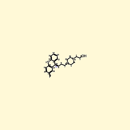 OCCN1CCN(CC/C=C2\c3ccccc3Sc3ccc(F)cc32)CC1